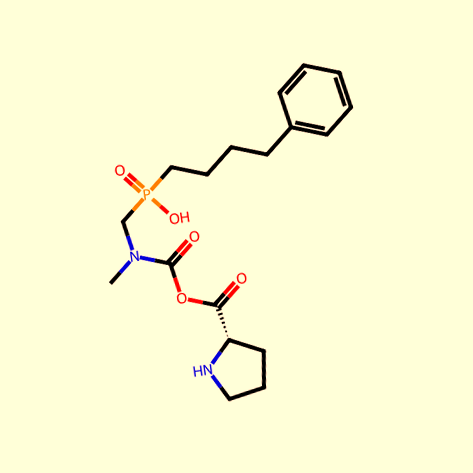 CN(CP(=O)(O)CCCCc1ccccc1)C(=O)OC(=O)[C@@H]1CCCN1